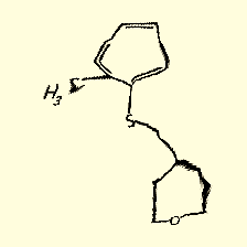 Cc1ccccc1SCC1CCOCC1